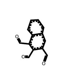 O=Cc1cc2ccccc2c(C=O)c1C=O